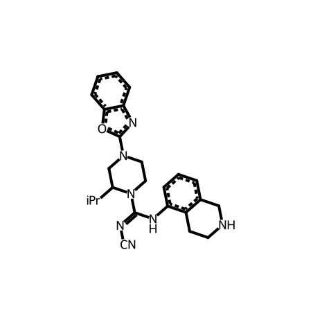 CC(C)C1CN(c2nc3ccccc3o2)CCN1/C(=N/C#N)Nc1cccc2c1CCNC2